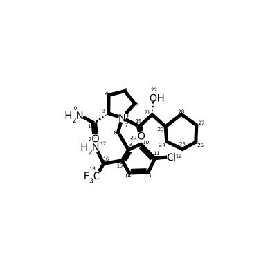 NC(=O)[C@@H]1CCC[N+]1(Cc1cc(Cl)ccc1C(N)C(F)(F)F)C(=O)[C@H](O)C1CCCCC1